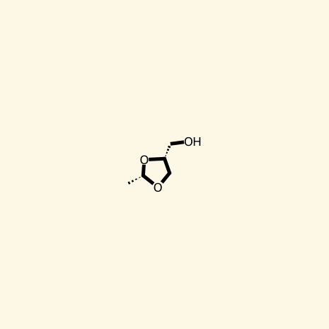 C[C@H]1OC[C@@H](CO)O1